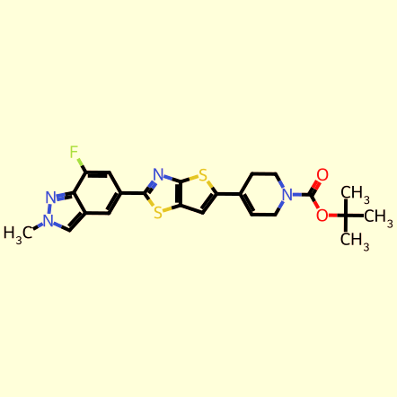 Cn1cc2cc(-c3nc4sc(C5=CCN(C(=O)OC(C)(C)C)CC5)cc4s3)cc(F)c2n1